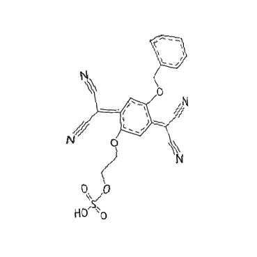 N#CC(C#N)=c1cc(OCc2ccccc2)c(=C(C#N)C#N)cc1OCCOS(=O)(=O)O